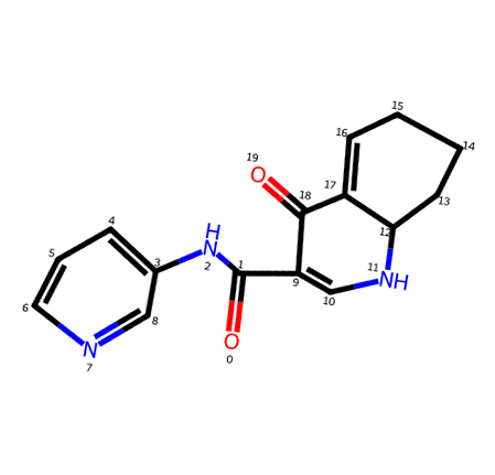 O=C(Nc1cccnc1)C1=CNC2CCCC=C2C1=O